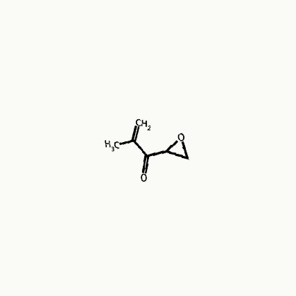 C=C(C)C(=O)C1CO1